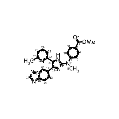 COC(=O)c1ccc(N(C)c2nc(-c3ccc4ncnn4c3)c(-c3cccc(C)n3)[nH]2)cc1